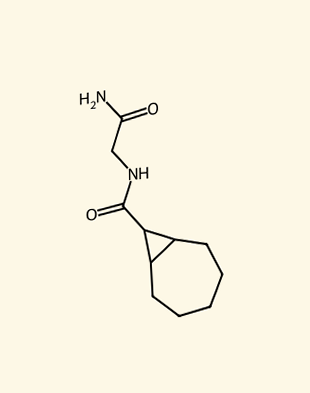 NC(=O)CNC(=O)C1C2CCCCCC21